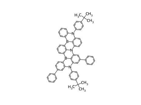 CC(C)(C)c1ccc(N2c3ccccc3B3c4cccc5c4N(c4cccc2c43)c2cc(-c3ccccc3)cc3c2B5c2ccc(-c4ccccc4)cc2N3c2ccc(C(C)(C)C)cc2)cc1